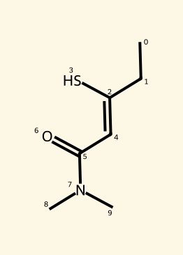 CC/C(S)=C/C(=O)N(C)C